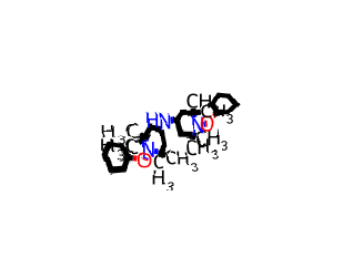 CC1(C)CC(NC2CC(C)(C)N(OC3CCCCC3)C(C)(C)C2)CC(C)(C)N1OC1CCCCC1